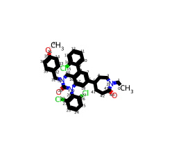 CCN1CCC(c2cc(-c3ccccc3Cl)c3c(c2)N(c2c(Cl)cccc2Cl)C(=O)N(Cc2ccc(OC)cc2)C3)CCC1=O